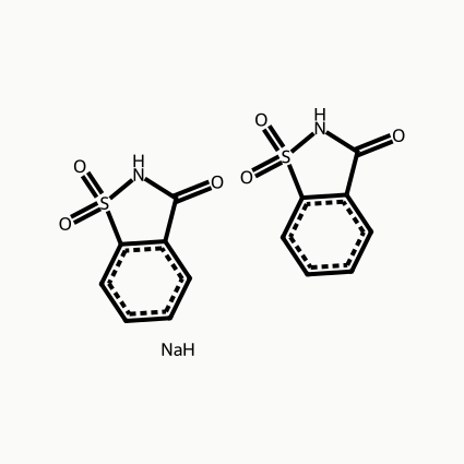 O=C1NS(=O)(=O)c2ccccc21.O=C1NS(=O)(=O)c2ccccc21.[NaH]